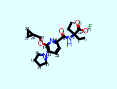 CCC(CC)(NC(=O)c1ccc(N2CCCC2)c(OCC2CC2)n1)C(=O)OF